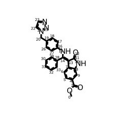 COC(=O)c1ccc2c(c1)NC(=O)/C2=C(\Nc1ccc(Cn2ccnn2)cc1)c1ccccc1